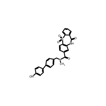 CN(Cc1ccc(-c2ccc(N=O)cc2)cc1)C(=O)c1ccc2c(c1)NC(=O)c1ccccc1S2(=O)=O